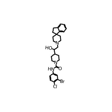 O=C(Nc1ccc(Cl)c(Br)c1)N1CCC(C(O)CN2CCC3(CCc4ccccc43)CC2)CC1